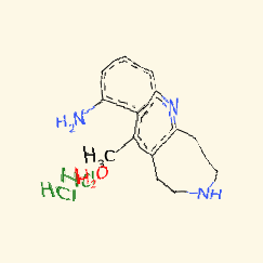 Cc1c2c(nc3cccc(N)c13)CCNCC2.Cl.Cl.O